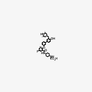 C[C@@H]1CN(Cc2cc(-c3cccc(Oc4ncc(F)cc4C(=O)N[C@H]4CC[C@H](NC(=O)O)CC4)c3)ccc2O)C[C@H](C)N1